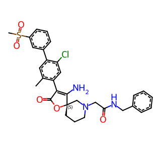 Cc1cc(-c2cccc(S(C)(=O)=O)c2)c(Cl)cc1C1=C(N)[C@@]2(CCCN(CC(=O)NCc3ccccc3)C2)OC1=O